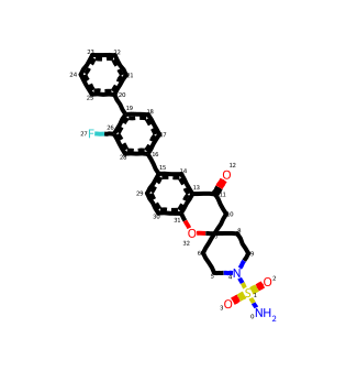 NS(=O)(=O)N1CCC2(CC1)CC(=O)c1cc(-c3ccc(-c4ccccc4)c(F)c3)ccc1O2